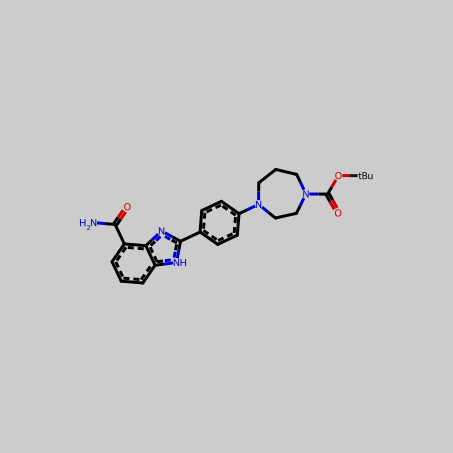 CC(C)(C)OC(=O)N1CCCN(c2ccc(-c3nc4c(C(N)=O)cccc4[nH]3)cc2)CC1